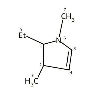 CCC1C(C)C=CN1C